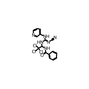 N#C/N=C(\Nc1cccnc1)NC(NC(=O)c1ccccc1)C(Cl)(Cl)Cl